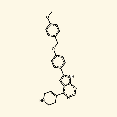 COc1ccc(COc2ccc(-c3cc4c(C5=CCNCC5)ncnc4[nH]3)cc2)cc1